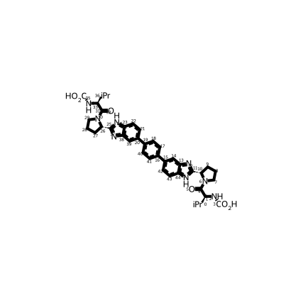 CC(C)[C@H](NC(=O)O)C(=O)N1CCC[C@H]1c1nc2cc(-c3ccc(-c4ccc5[nH]c([C@@H]6CCCN6C(=O)[C@@H](NC(=O)O)C(C)C)nc5c4)cc3)ccc2[nH]1